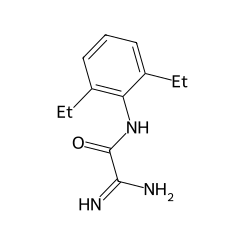 CCc1cccc(CC)c1NC(=O)C(=N)N